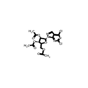 CC(=O)OCC1O[C@@H](n2ncc3c(Cl)nc(Cl)nc32)[C@H](OC(C)=O)[C@@H]1OC(C)=O